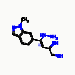 Cn1ncc2ccc(/C(=C/C(=N)C=N)NN)cc21